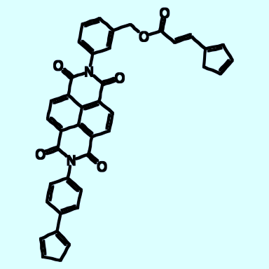 O=C(/C=C/C1=CC=CC1)OCc1cccc(N2C(=O)c3ccc4c5c(ccc(c35)C2=O)C(=O)N(c2ccc(C3=CCC=C3)cc2)C4=O)c1